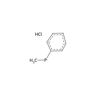 C[P]c1ccccc1.Cl